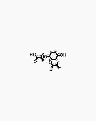 C=C(C)C(=O)O.C=C(C)C(=O)O.OC1CCC(O)CC1